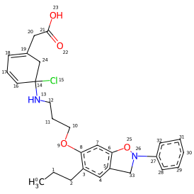 CCCc1cc2c(cc1OCCCNC1(Cl)C=CC=C(CC(=O)O)C1)ON(c1ccccc1)C2